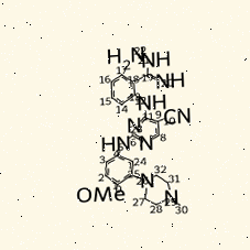 COc1ccc(Nc2ncc(C#N)c(Nc3ccccc3C(=N)NN)n2)cc1N1CCN(C)CC1